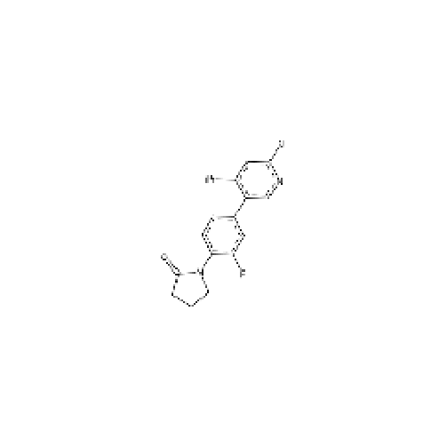 CC(C)c1cc(Cl)ncc1-c1ccc(N2CCCC2=O)c(F)c1